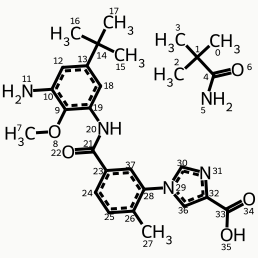 CC(C)(C)C(N)=O.COc1c(N)cc(C(C)(C)C)cc1NC(=O)c1ccc(C)c(-n2cnc(C(=O)O)c2)c1